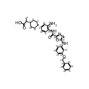 CC(C(=O)O)[C@H]1CC[C@H](c2ccc(NC(=O)c3nnc(Nc4cccc(OCc5ccccc5)c4)o3)c(N)c2)CC1